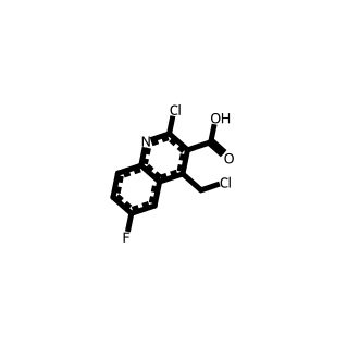 O=C(O)c1c(Cl)nc2ccc(F)cc2c1CCl